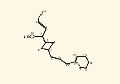 OC(/C=C/I)C1CC(CCCC2CCCCC2)C1